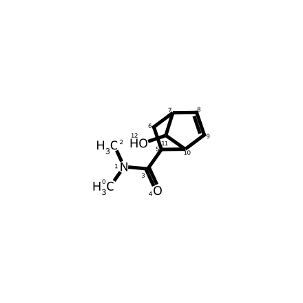 CN(C)C(=O)C1CC2C=CC1C2O